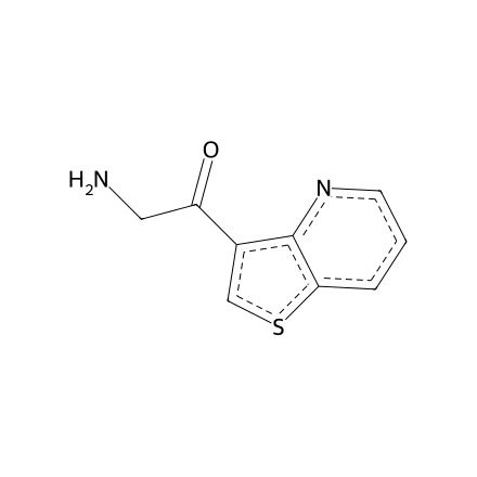 NCC(=O)c1csc2cccnc12